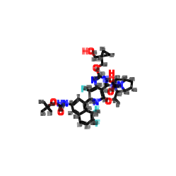 CC1Oc2nc(-c3cc(NC(=O)OC(C)(C)C)cc4ccc(F)c(F)c34)c(F)c3nc(OCC4(CO)CC4)nc(c23)N2CC3CCC(C12)N3C(=O)O